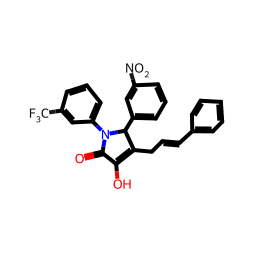 O=C1C(O)=C(CC=Cc2ccccc2)C(c2cccc([N+](=O)[O-])c2)N1c1cccc(C(F)(F)F)c1